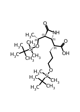 C[C@@H](O[Si](C)(C)C(C)(C)C)[C@H]1C(=O)N[C@@H]1[C@@H](CCCO[Si](C)(C)C(C)(C)C)C(=O)O